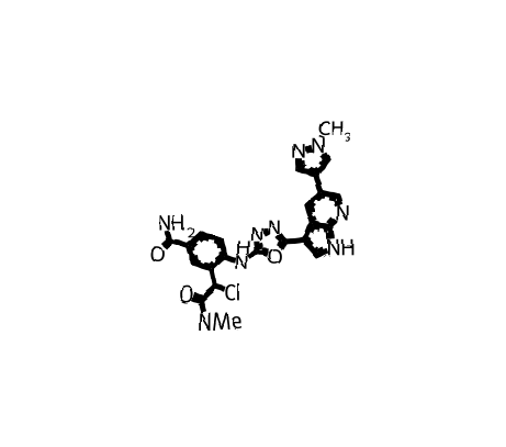 CNC(=O)C(Cl)c1cc(C(N)=O)ccc1Nc1nnc(-c2c[nH]c3ncc(-c4cnn(C)c4)cc23)o1